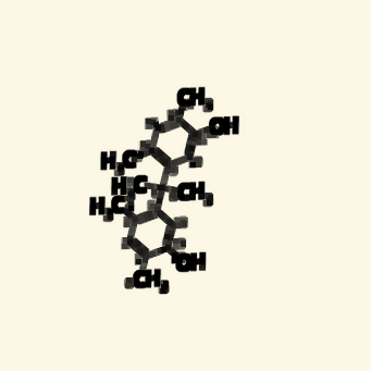 Cc1cc(C)c(C(C)(C)c2cc(O)c(C)cc2C)cc1O